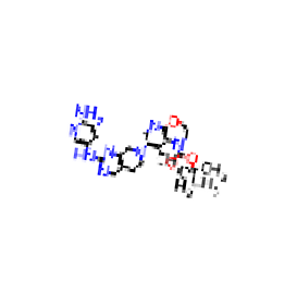 Cc1c(N2CCc3cnc(Nc4ccc(N)nc4)nc3C2)cnc2c1N(C(=O)OC(C)(C)C)CCO2